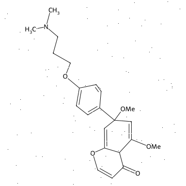 COC1=CC(OC)(c2ccc(OCCCN(C)C)cc2)C=C2OC=CC(=O)C12